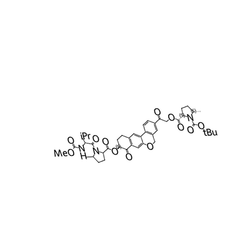 COC(=O)NC(C(=O)N1C(C)CCC1C(=O)O[C@H]1CCc2cc3c(cc2C1=O)OCc1cc(C(=O)COC(=O)[C@@H]2CC[C@H](C)N2C(=O)OC(C)(C)C)ccc1-3)C(C)C